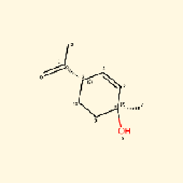 C=C(C)[C@@H]1C=C[C@@](C)(O)CC1